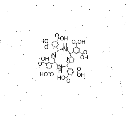 O=C(O)c1cc(C(=O)O)cc(-c2c3nc(c(-c4cc(C(=O)O)cc(C(=O)O)c4)c4ccc([nH]4)c(-c4cc(C(=O)O)cc(C(=O)O)c4)c4nc(c(-c5cc(C(=O)O)cc(C(=O)O)c5)c5ccc2[nH]5)C=C4)C=C3)c1